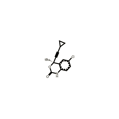 CC(C)(C)[C@@]1(C#CC2CC2)OC(=O)Nc2ccc(Cl)cc21